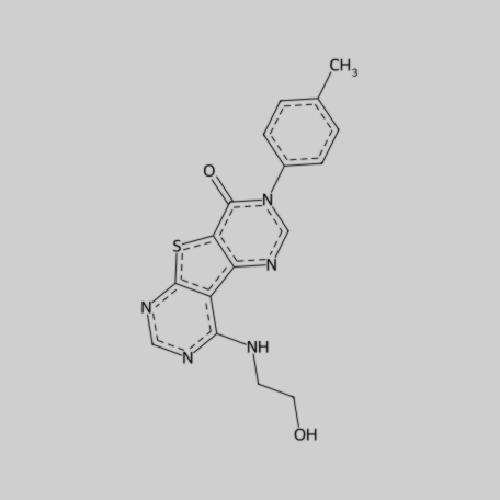 Cc1ccc(-n2cnc3c(sc4ncnc(NCCO)c43)c2=O)cc1